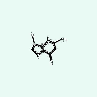 CCn1cnc2c(=O)cc(N)[nH]c21